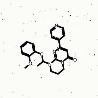 COc1ccccc1OC(C)N1CCCn2c1nc(-c1ccncc1)cc2=O